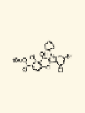 CC(C)(C)OC(=O)c1ccc(Cl)c(C(O)c2cc3c(Cl)cc(Br)cc3n2-c2ccccc2)c1Cl